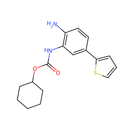 Nc1ccc(-c2cccs2)cc1NC(=O)OC1CCCCC1